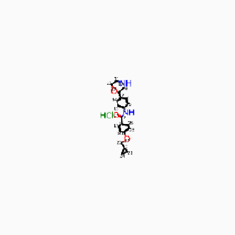 Cl.O=C(Nc1ccc(C2CNCCO2)cc1)c1ccc(OCC2CC2)cc1